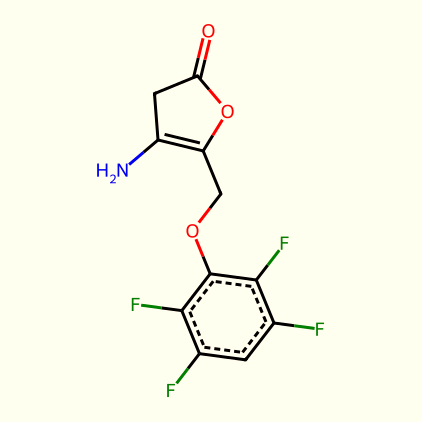 NC1=C(COc2c(F)c(F)cc(F)c2F)OC(=O)C1